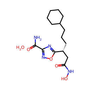 NC(=O)c1noc([C@H](CCCC2CCCCC2)CC(=O)NO)n1.O